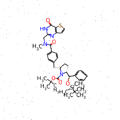 CN(Cc1nc2ccsc2c(=O)[nH]1)C(=O)c1ccc(C[C@@H]2CC[C@H]([C@H](O[Si](C)(C)C(C)(C)C)c3ccccc3)N2C(=O)OC(C)(C)C)cc1